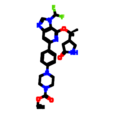 C[C@@H](Oc1nc(-c2ccc(N3CCN(C(=O)OC(C)(C)C)CC3)cc2)cc2ncn(C(F)F)c12)C1CNC(=O)C1